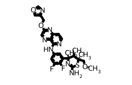 COC[C@@]1(C)SC(N)=N[C@](C)(c2cc(Nc3nccc4nc(OCc5cocn5)cnc34)cc(F)c2F)C1C